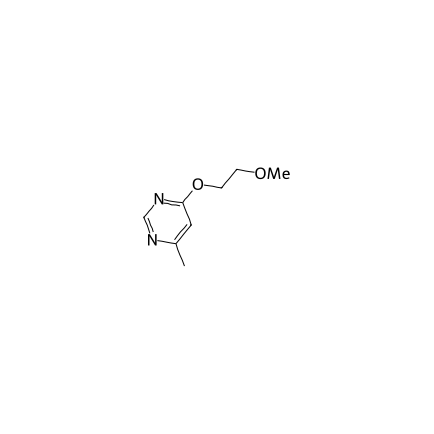 COCCOc1cc(C)ncn1